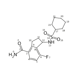 NC(=O)c1ccc(F)c2c1CCC2NS(=O)(=O)C1CCCCC1